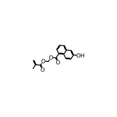 C=C(C)C(=O)OCOC(=O)c1cccc2cc(O)ccc12